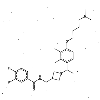 Cc1c(OCCCCN(C)C)ccc(C(C)N2CC(CNC(=O)c3ccc(F)c(F)c3)C2)c1C